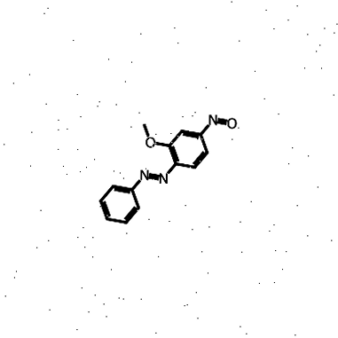 COc1cc(N=O)ccc1N=Nc1ccccc1